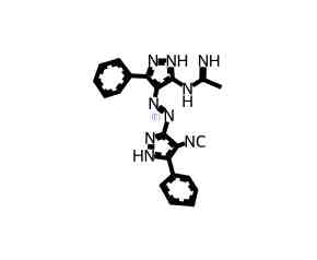 [C-]#[N+]c1c(/N=N/c2c(-c3ccccc3)n[nH]c2NC(C)=N)n[nH]c1-c1ccccc1